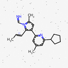 C/C=C/c1c(-c2cc(C)cc(C3CCCC3)n2)cc(C)n1C=N